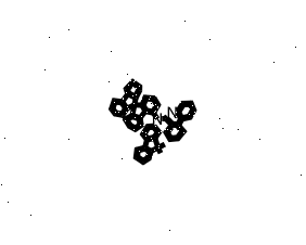 CC1(C)c2ccccc2-c2ccc(N(c3cccc4c3-c3ccccc3C43c4ccccc4-c4ccccc43)c3nc4ccccc4c4ccccc34)cc21